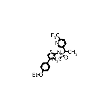 CCOc1ccc(-c2csc(N=S(C)(=O)C(C)c3ccc(C(F)(F)F)nc3)n2)cc1